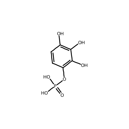 O=P(O)(O)Oc1ccc(O)c(O)c1O